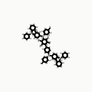 Cc1ccc(N(c2ccc(-c3c(F)c(F)c(N(c4ccc(C)cc4)c4ccc5c(c4)c4ccccc4n5-c4ccccc4)c(F)c3F)cc2)c2ccc3c(c2)c2ccccc2n3-c2ccccc2)cc1